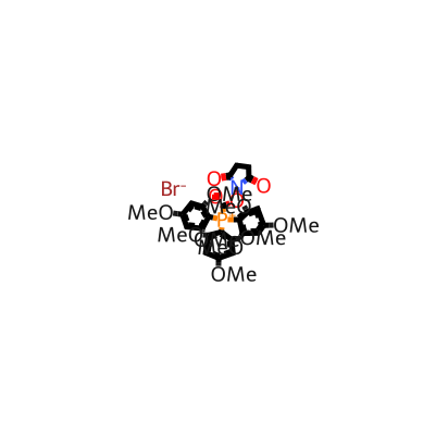 COc1cc(OC)c([P+](C(=O)ON2C(=O)CCC2=O)(c2c(OC)cc(OC)cc2OC)c2c(OC)cc(OC)cc2OC)c(OC)c1.[Br-]